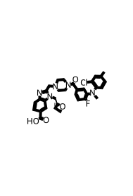 Cc1ccc(N(C)c2cc(C(=O)N3CCN(Cc4nc5ccc(C(=O)O)cc5n4C[C@@H]4CCO4)CC3)ccc2F)c(Cl)c1